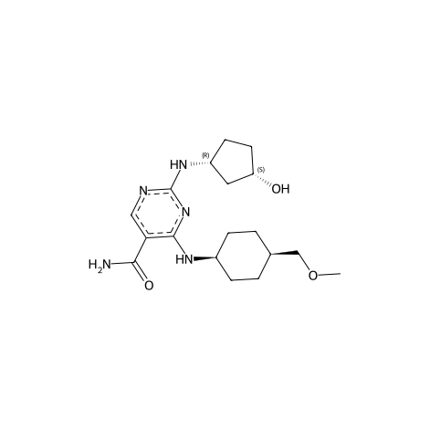 COC[C@H]1CC[C@@H](Nc2nc(N[C@@H]3CC[C@H](O)C3)ncc2C(N)=O)CC1